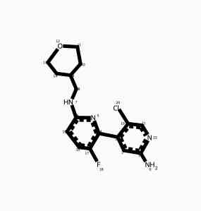 Nc1cc(-c2nc(NCC3CCOCC3)ccc2F)c(Cl)cn1